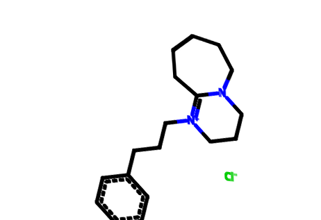 [Cl-].c1ccc(CCC[N+]2=C3CCCCCN3CCC2)cc1